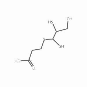 O=C(O)CCSC(S)C(S)CO